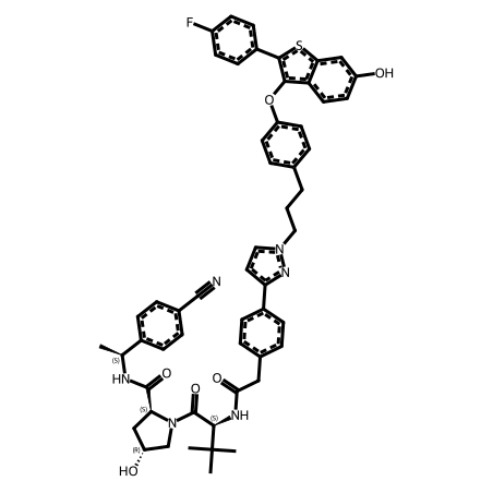 C[C@H](NC(=O)[C@@H]1C[C@@H](O)CN1C(=O)[C@@H](NC(=O)Cc1ccc(-c2ccn(CCCc3ccc(Oc4c(-c5ccc(F)cc5)sc5cc(O)ccc45)cc3)n2)cc1)C(C)(C)C)c1ccc(C#N)cc1